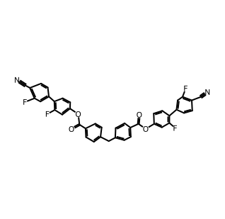 N#Cc1ccc(-c2ccc(OC(=O)c3ccc(Cc4ccc(C(=O)Oc5ccc(-c6ccc(C#N)c(F)c6)c(F)c5)cc4)cc3)cc2F)cc1F